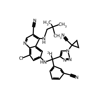 [2H]C(Nc1cc(Cl)c2ncc(C#N)c(NCC(C)(C)C)c2c1)(c1cccc(C#N)c1)c1cn(C2(C#N)CC2)nn1